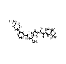 CC(NC(=O)c1cc(N2CCC(N)CC2)ncn1)C1=NC=C(C(=O)Nc2cc(C(F)(F)F)c(Cl)cn2)C1